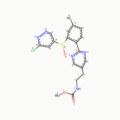 CC(C)(C)OC(=O)NCCc1cnc(-c2ccc(C#N)cc2[S+]([O-])c2cnnc(Cl)c2)nc1